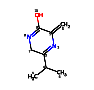 C=C1N=C(C(C)C)CN=C1O